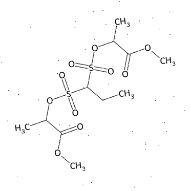 CCC(S(=O)(=O)OC(C)C(=O)OC)S(=O)(=O)OC(C)C(=O)OC